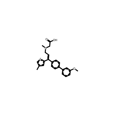 COc1cccc(-c2ccc(C(=CCN(C)CC(=O)O)c3cc(C)cs3)cc2)c1